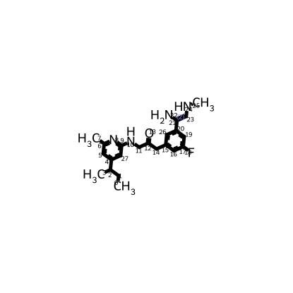 CCC(C)c1cc(C)nc(NCC(=O)Cc2cc(F)cc(/C(N)=C/NC)c2)c1